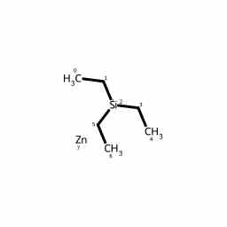 CC[Si](CC)CC.[Zn]